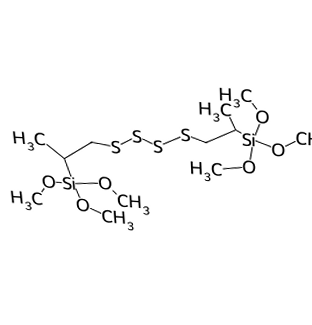 CO[Si](OC)(OC)C(C)CSSSSCC(C)[Si](OC)(OC)OC